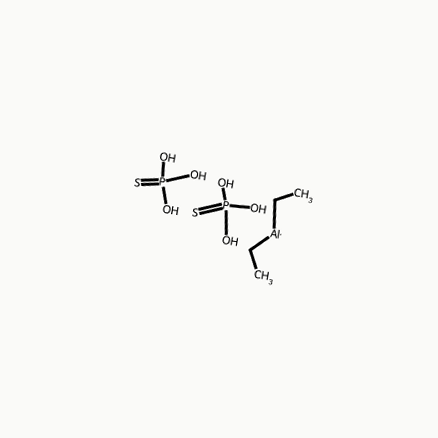 C[CH2][Al][CH2]C.OP(O)(O)=S.OP(O)(O)=S